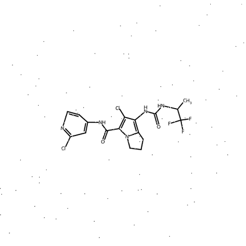 CC(NC(=O)Nc1c(Cl)c(C(=O)Nc2ccnc(Cl)c2)n2c1CCC2)C(F)(F)F